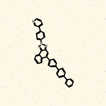 c1ccc(-c2ccc(-c3ccc(-c4cc5nn(-c6ccc(-c7cccnc7)cc6)nc5c5ccccc45)cc3)cc2)cc1